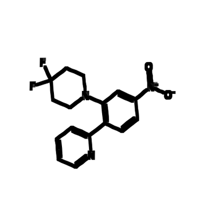 O=[N+]([O-])c1ccc(-c2ccccn2)c(N2CCC(F)(F)CC2)c1